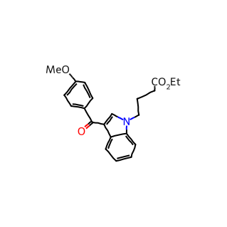 CCOC(=O)CCCn1cc(C(=O)c2ccc(OC)cc2)c2ccccc21